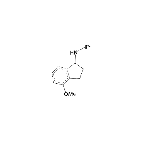 COc1cccc2c1CCC2NC(C)C